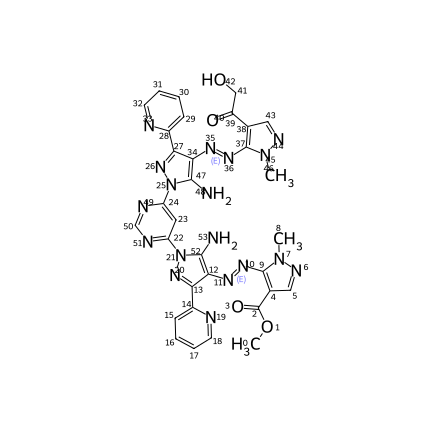 COC(=O)c1cnn(C)c1/N=N/c1c(-c2ccccn2)nn(-c2cc(-n3nc(-c4ccccn4)c(/N=N/c4c(C(=O)CO)cnn4C)c3N)ncn2)c1N